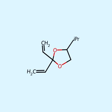 C=CC1(C=C)OCC(C(C)C)O1